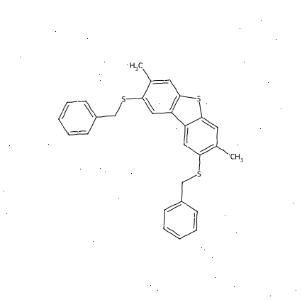 Cc1cc2sc3cc(C)c(SCc4ccccc4)cc3c2cc1SCc1ccccc1